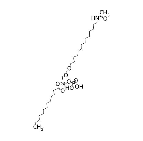 CCCCCCCCCCCCC(=O)O[C@@H](COCOCCCCCCCCCCCCCCNC(C)=O)COP(=O)(O)O